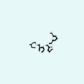 O=C(c1cnccc1Nc1nc(-c2cccc(C(F)F)n2)nn2cccc12)N1CCC(O)CC1